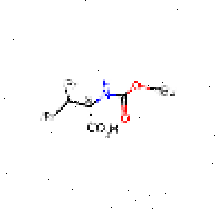 CC(C)C(C(C)C)[C@H](NC(=O)OC(C)(C)C)C(=O)O